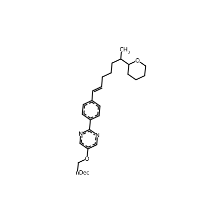 CCCCCCCCCCCOc1cnc(-c2ccc(C=CCCCC(C)C3CCCCO3)cc2)nc1